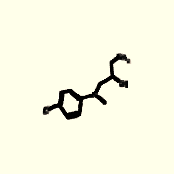 CN(CC(O)CN)c1ccc(Cl)cc1